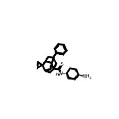 N[C@H]1CC[C@H](NC(=S)C23CC4CC(c5ccccc5)(CC(C2)C42CC2)C3)CC1